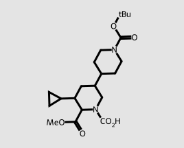 COC(=O)C1C(C2CC2)CC(C2CCN(C(=O)OC(C)(C)C)CC2)CN1C(=O)O